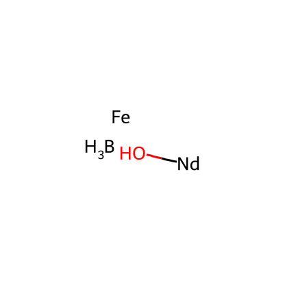 B.[Fe].[OH][Nd]